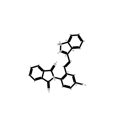 O=C1c2ccccc2C(=O)N1c1ccc(F)cc1C=Cc1n[nH]c2ccccc12